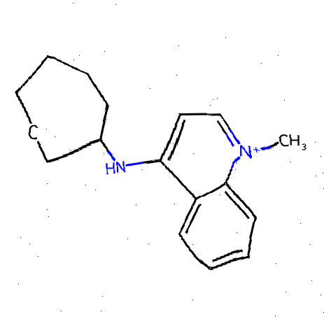 C[n+]1ccc(NC2CCCCCC2)c2ccccc21